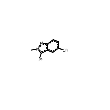 CC(C)c1c2cc(O)ccc2nn1C